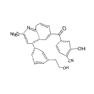 COc1cc(-c2cccc(CCO)c2)c2cc(C(=O)c3ccc(C#N)c(O)c3)ccc2n1